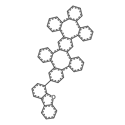 c1ccc2c(c1)oc1c(-c3ccc4c5ccccc5c5cc6c7ccccc7c7ccccc7c7ccccc7c6cc5c5ccccc5c4c3)cccc12